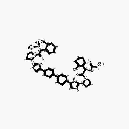 COC(=O)N[C@@H](C(=O)N1CCC[C@H]1c1ncc(-c2ccc(-c3ccc(-c4cnc([C@@H]5CCCN5C(=O)[C@@H](c5ccccc5Cl)N(C)C)[nH]4)cc3)cc2)[nH]1)c1ccccc1Cl